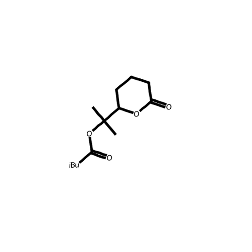 CCC(C)C(=O)OC(C)(C)C1CCCC(=O)O1